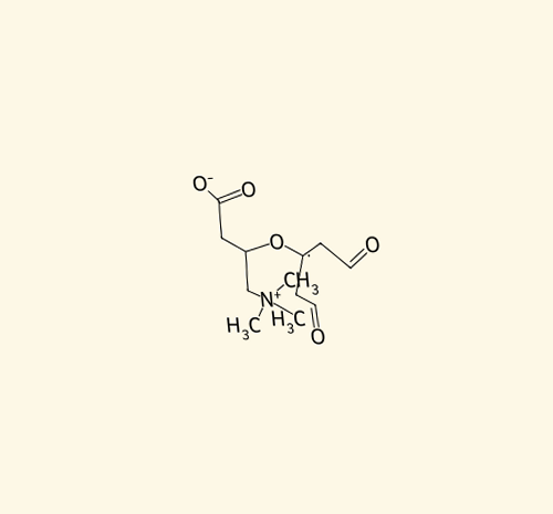 C[N+](C)(C)CC(CC(=O)[O-])O[C](CC=O)CC=O